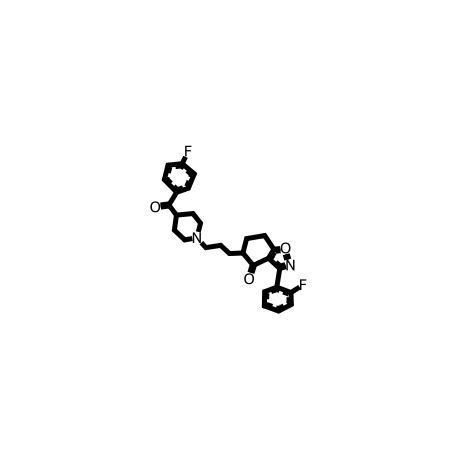 O=C(c1ccc(F)cc1)C1CCN(CCCC2CCc3onc(-c4ccccc4F)c3C2=O)CC1